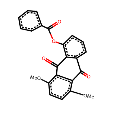 COc1ccc(OC)c2c1C(=O)c1cccc(OC(=O)c3ccccc3)c1C2=O